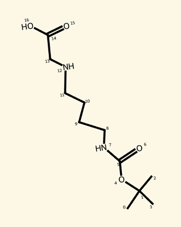 CC(C)(C)OC(=O)NCCCCNCC(=O)O